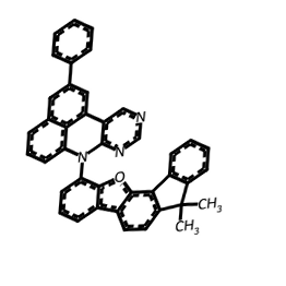 CC1(C)c2ccccc2-c2c1ccc1c2oc2c(N3c4ncncc4-c4cc(-c5ccccc5)cc5cccc3c45)cccc21